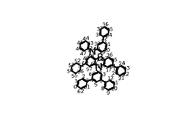 c1ccc(-c2cc(-c3ccccc3)cc(N3c4cc(-c5ccccc5)ccc4B4c5ccc(-c6ccccc6)cc5N(c5ccccc5)c5cc(C6CCCCC6)cc3c54)c2)cc1